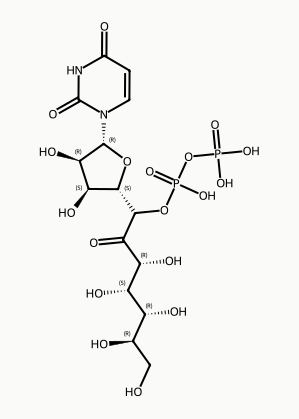 O=C(C(OP(=O)(O)OP(=O)(O)O)[C@H]1O[C@@H](n2ccc(=O)[nH]c2=O)[C@H](O)[C@@H]1O)[C@H](O)[C@@H](O)[C@H](O)[C@H](O)CO